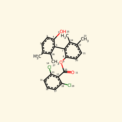 Cc1ccc(O)c(-c2c(OC(=O)c3c(Cl)cccc3Cl)ccc(C)c2C)c1C